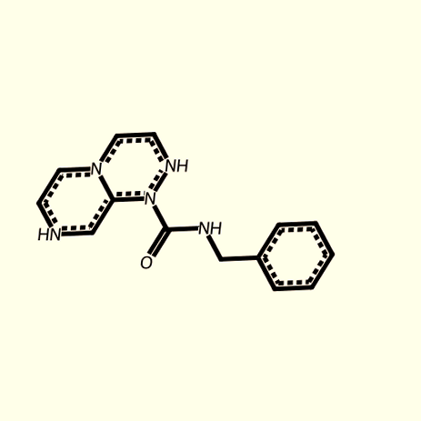 O=C(NCc1ccccc1)n1[nH]ccn2cc[nH]cc1-2